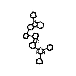 C1=Cc2c(n(-c3ccccc3)c3ccc(-c4ccccc4-c4cccc5oc6c(-c7nc(-c8ccccc8)nc(-c8ccccc8)n7)cccc6c45)cc23)CC1